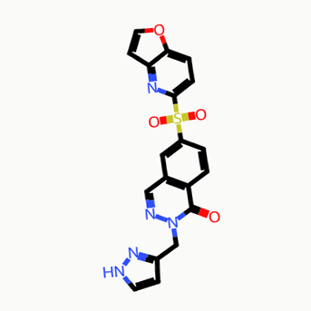 O=c1c2ccc(S(=O)(=O)c3ccc4occc4n3)cc2cnn1Cc1cc[nH]n1